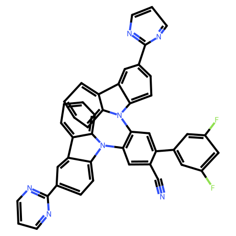 N#Cc1cc(-n2c3ccccc3c3cc(-c4ncccn4)ccc32)c(-n2c3ccccc3c3cc(-c4ncccn4)ccc32)cc1-c1cc(F)cc(F)c1